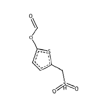 O=COc1ccc(C[SH](=O)=O)s1